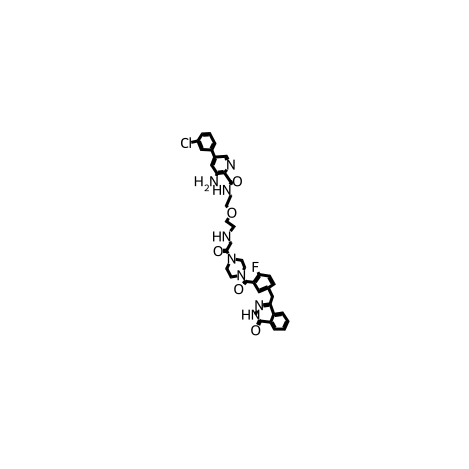 Nc1cc(-c2cccc(Cl)c2)cnc1C(=O)NCCOCCNCC(=O)N1CCN(C(=O)c2cc(Cc3n[nH]c(=O)c4ccccc34)ccc2F)CC1